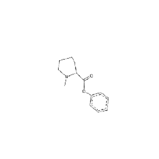 CN1CCCCC1C(=O)Oc1ccccc1